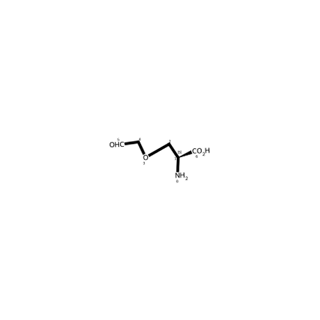 N[C@@H](COCC=O)C(=O)O